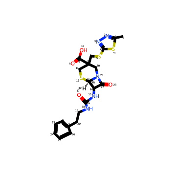 Cc1nnc(SCC2(C(=O)O)CS[C@@H]3C(NC(=O)NCCc4ccccc4)C(=O)N3C2)s1